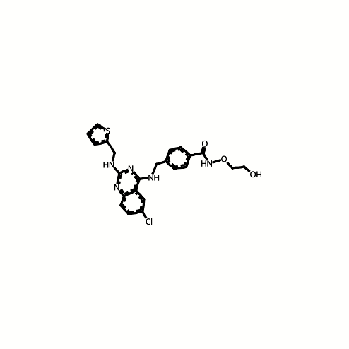 O=C(NOCCO)c1ccc(CNc2nc(NCc3cccs3)nc3ccc(Cl)cc23)cc1